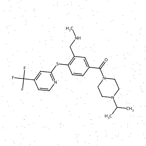 CNCc1cc(C(=O)N2CCN(C(C)C)CC2)ccc1Sc1cc(C(F)(F)F)ccn1